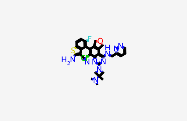 CN(C)C1(C)CN(c2nc(NCc3cccnn3)c3c4c(c(-c5c(F)ccc6sc(N)c(C#N)c56)c(Cl)c3n2)COC4)C1